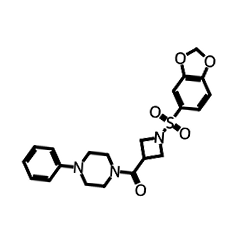 O=C(C1CN(S(=O)(=O)c2ccc3c(c2)OCO3)C1)N1CCN(c2ccccc2)CC1